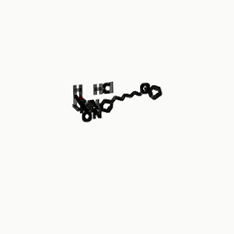 Cl.O=C(c1nc2ccc(CCCCCCOc3ccccc3)cc2[nH]1)N1CCNCC1